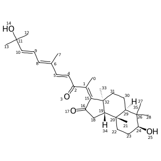 C/C(C(=O)/C=C/C(C)=C/C=C/C(C)(C)O)=C1/C(=O)C[C@H]2[C@@]3(C)CC[C@H](O)C(C)(C)[C@@H]3CC[C@]12C